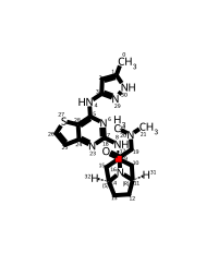 Cc1cc(Nc2nc(N[C@@H]3C[C@H]4CC[C@@H](C3)N4C(=O)CN(C)C)nc3ccsc23)n[nH]1